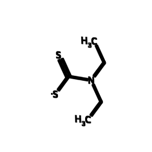 CCN(CC)C([S])=S